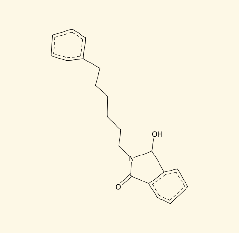 O=C1c2ccccc2C(O)N1CCCCCCc1ccccc1